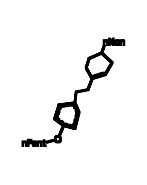 CCCCCCCCCC1CC=C(CCc2ccc(OCCCCC)cc2)CC1